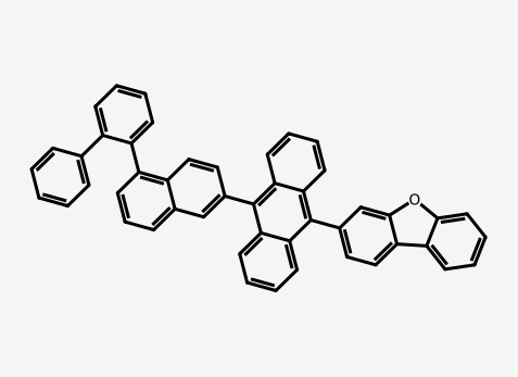 c1ccc(-c2ccccc2-c2cccc3cc(-c4c5ccccc5c(-c5ccc6c(c5)oc5ccccc56)c5ccccc45)ccc23)cc1